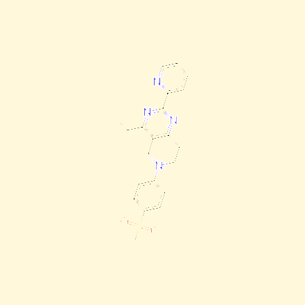 CCc1nc(-c2ccccn2)nc2c1CN(c1ccc(S(C)(=O)=O)cc1)CC2